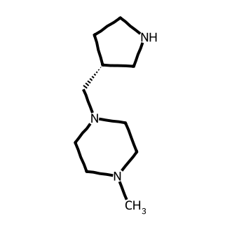 CN1CCN(C[C@@H]2CCNC2)CC1